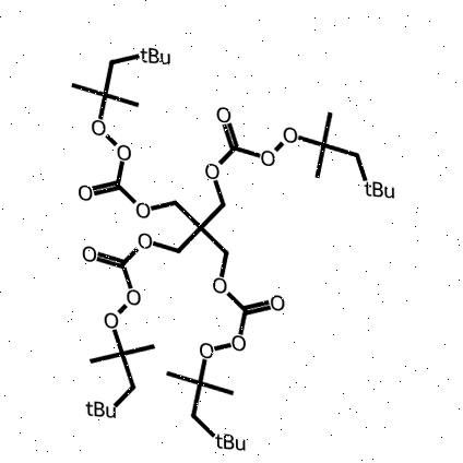 CC(C)(C)CC(C)(C)OOC(=O)OCC(COC(=O)OOC(C)(C)CC(C)(C)C)(COC(=O)OOC(C)(C)CC(C)(C)C)COC(=O)OOC(C)(C)CC(C)(C)C